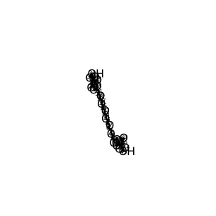 O=C(CCOCCOCCOCCOCCOCCOCCC(=O)ON1C(=O)CC(S(=O)(=O)O)C1=O)ON1C(=O)CC(S(=O)(=O)O)C1=O